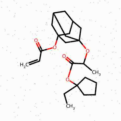 C=CC(=O)OC12CC3CC(C1)CC(OC(C)C(=O)OC1(CC)CCCC1)(C3)C2